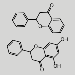 O=C1CC(c2ccccc2)Oc2cc(O)cc(O)c21.O=C1CC(c2ccccc2)Oc2ccccc21